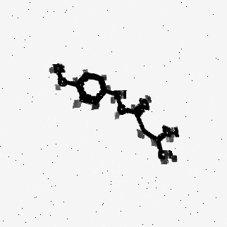 CCOc1ccc(NOC(=O)CC(C)O)cc1